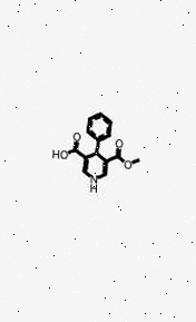 COC(=O)C1=CNC=C(C(=O)O)C1c1ccccc1